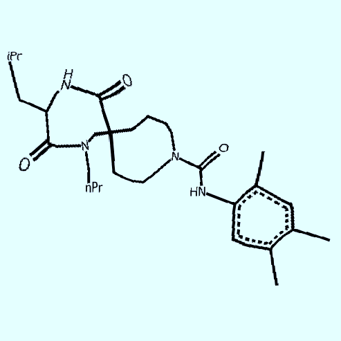 CCCN1C(=O)C(CC(C)C)NC(=O)C12CCN(C(=O)Nc1cc(C)c(C)cc1C)CC2